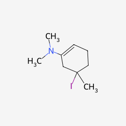 CN(C)C1=CCCC(C)(I)C1